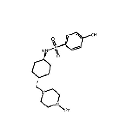 CC(C)N1CCN(C[C@H]2CC[C@H](NS(=O)(=O)c3ccc(C#N)cc3)CC2)CC1